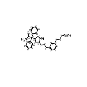 CNCCCc1cccc(CCCC2CC(C(C(N)=O)(c3ccccc3)c3ccccc3)CN2)c1